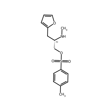 CN[C@H](COS(=O)(=O)c1ccc(C)cc1)Cc1ccco1